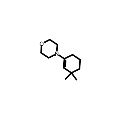 CC1(C)C=C(N2CCOCC2)CCC1